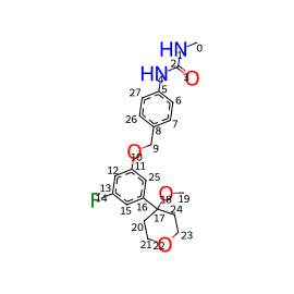 CNC(=O)Nc1ccc(COc2cc(F)cc(C3(OC)CCOCC3)c2)cc1